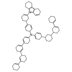 C1=Cc2c(c3c(n2C2=CCCC(C4=CCC(N(C5=CCC(C6CCCC(C7CCC=C(C8=CCCCC8)C7)C6)C=C5)C5=CC=C(C6=CCCC(C7C=C(C8=CCCCC8)CCC7)=C6)CC5)C=C4)C2)CCCC3)CC1